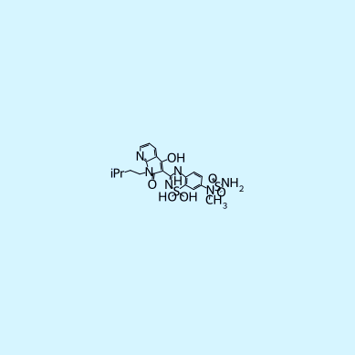 CC(C)CCn1c(=O)c(C2=NS(O)(O)c3cc(N(C)S(N)(=O)=O)ccc3N2)c(O)c2cccnc21